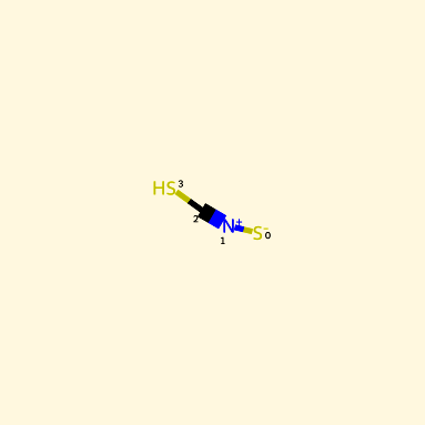 [S-][N+]#CS